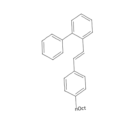 CCCCCCCCc1ccc(C=Cc2ccccc2-c2ccccc2)cc1